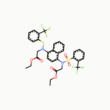 CCOC(=O)CN(Sc1ccccc1C(F)(F)F)c1ccc(N(CC(=O)OCC)S(=O)(=O)c2ccccc2C(F)(F)F)c2ccccc12